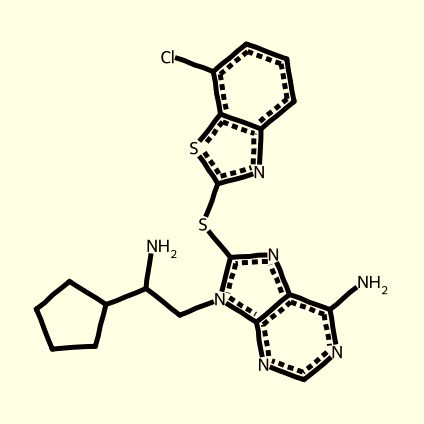 Nc1ncnc2c1nc(Sc1nc3cccc(Cl)c3s1)n2CC(N)C1CCCC1